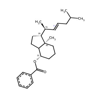 CC(C)C/C=C/[C@H](C)[C@H]1CCC2[C@@H](OC(=O)c3ccccc3)CCC[C@@]21C